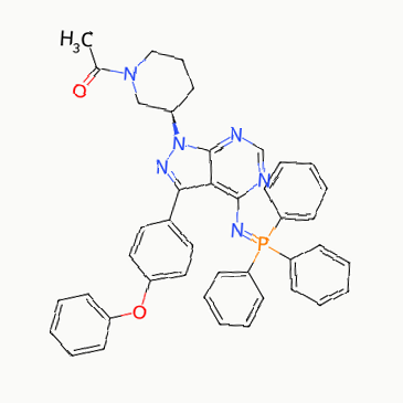 CC(=O)N1CCC[C@@H](n2nc(-c3ccc(Oc4ccccc4)cc3)c3c(N=P(c4ccccc4)(c4ccccc4)c4ccccc4)ncnc32)C1